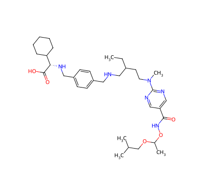 CCC(CCN(C)c1ncc(C(=O)NOC(C)OCC(C)C)cn1)CNCc1ccc(CN[C@H](C(=O)O)C2CCCCC2)cc1